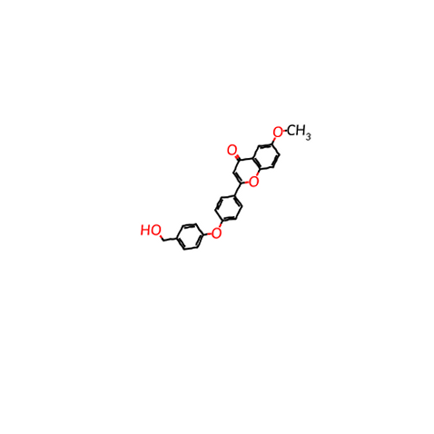 COc1ccc2oc(-c3ccc(Oc4ccc(CO)cc4)cc3)cc(=O)c2c1